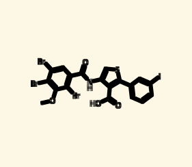 COc1c(Br)c(Br)cc(C(=O)Nc2csc(-c3cccc(I)c3)c2C(=O)O)c1Br